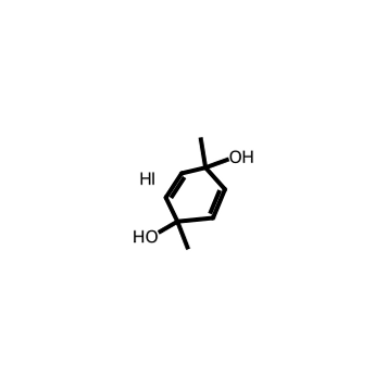 CC1(O)C=CC(C)(O)C=C1.I